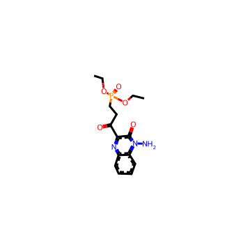 CCOP(=O)(CCC(=O)c1nc2ccccc2n(N)c1=O)OCC